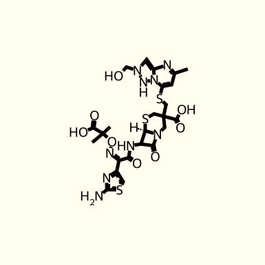 CC1=NC2=CN(CO)NN2C(SCC2(C(=O)O)CS[C@@H]3C(NC(=O)C(=NOC(C)(C)C(=O)O)c4csc(N)n4)C(=O)N3C2)=C1